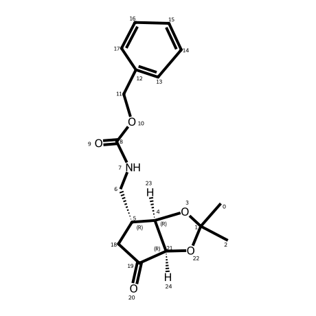 CC1(C)O[C@@H]2[C@@H](CNC(=O)OCc3ccccc3)CC(=O)[C@@H]2O1